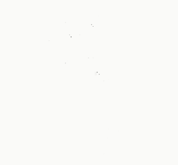 CCC1(C)C(=O)N(CCCCCC(=O)NNC(=O)CCCN(C)C(C(=O)N[C@H](C(C)=O)C(C)C)C(C)C)C1=O